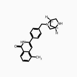 Cc1cccc2c(=O)[nH]c(-c3ccc(CN4C[C@@H]5C[C@H]4CN5)cc3)cc12